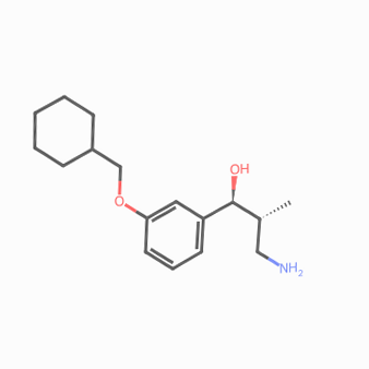 C[C@H](CN)[C@H](O)c1cccc(OCC2CCCCC2)c1